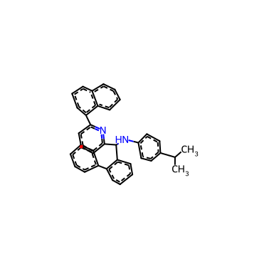 CC(C)c1ccc(NC(c2cccc(-c3cccc4ccccc34)n2)c2ccccc2-c2ccccc2)cc1